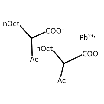 CCCCCCCCC(C(C)=O)C(=O)[O-].CCCCCCCCC(C(C)=O)C(=O)[O-].[Pb+2]